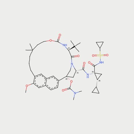 COc1cc2ccc3cc2cc1CCCC(C)(C)CCOC(=O)N[C@@H](C(C)(C)C)C(=O)N1C[C@@]3(OC(=O)N(C)C)C[C@H]1C(=O)N[C@]1(C(=O)NS(=O)(=O)C2CC2)C[C@@H]1C1CC1